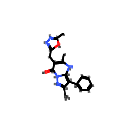 Cc1nnc(Cc2c(C)[nH]c3c(-c4ccccc4)c(C(F)(F)F)nn3c2=O)o1